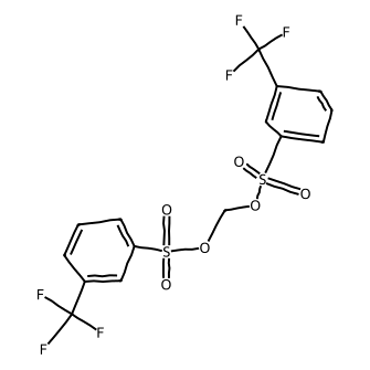 O=S(=O)(OCOS(=O)(=O)c1cccc(C(F)(F)F)c1)c1cccc(C(F)(F)F)c1